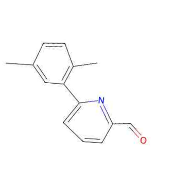 Cc1ccc(C)c(-c2cccc(C=O)n2)c1